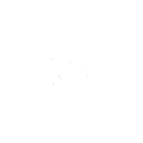 CCc1ccc[n+](CC)c1.CS(=O)(=O)[O-]